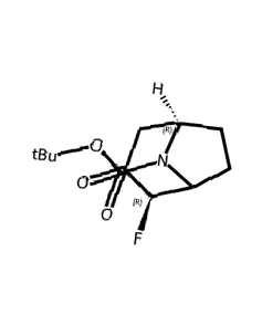 CC(C)(C)OC(=O)N1C2CC[C@@H]1CC(=O)[C@@H]2F